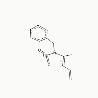 C=C/C=C(\C)N(Cc1ccccc1)[SH](=O)=O